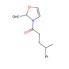 CC(C)C(C)CCC(=O)N1C=COC1C=O